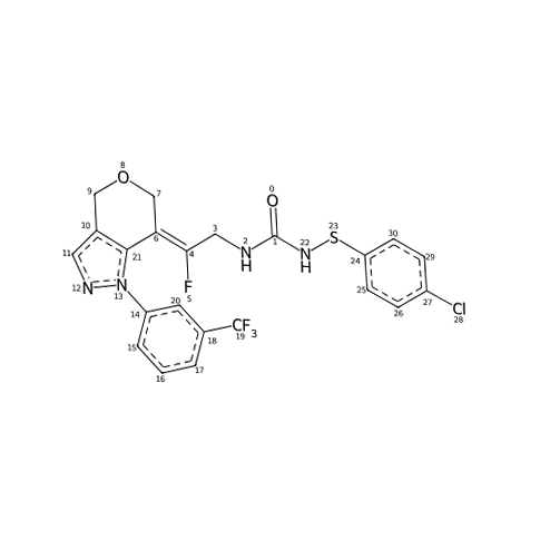 O=C(NC/C(F)=C1\COCc2cnn(-c3cccc(C(F)(F)F)c3)c21)NSc1ccc(Cl)cc1